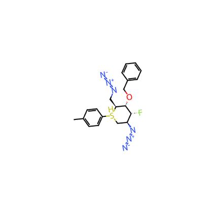 Cc1ccc([SH]2C[C@H](N=[N+]=[N-])[C@@H](F)[C@@H](OCc3ccccc3)[C@@H]2CN=[N+]=[N-])cc1